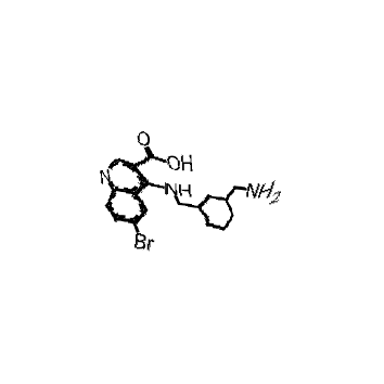 NCC1CCCC(CNc2c(C(=O)O)cnc3ccc(Br)cc23)C1